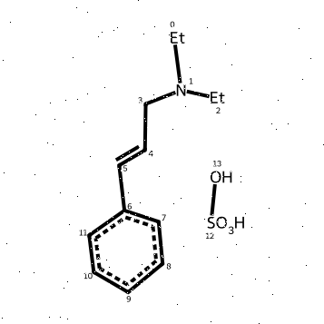 CCN(CC)CC=Cc1ccccc1.O=S(=O)(O)O